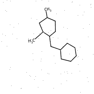 CC1CCC(CC2CCCCC2)C(C)C1